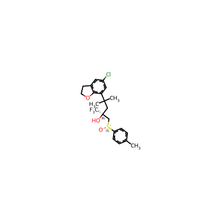 Cc1ccc([S@+]([O-])C[C@@](O)(CC(C)(C)c2cc(Cl)cc3c2OCC3)C(F)(F)F)cc1